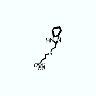 O=S(=O)(O)CCCSCCc1nc2ccccc2[nH]1